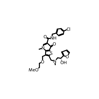 COCCOCc1c(CN(C)C[C@@H](O)c2ccco2)sc2c(=O)c(C(=O)NCc3ccc(Cl)cc3)cn(C)c12